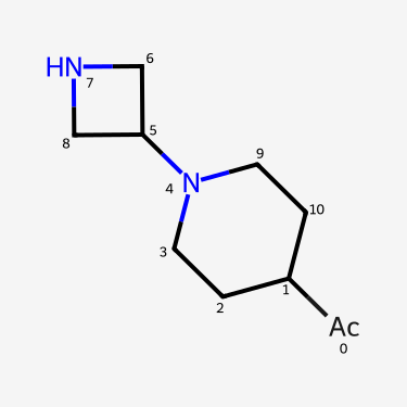 CC(=O)C1CCN(C2CNC2)CC1